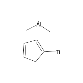 [CH3][Al][CH3].[Ti][C]1=CC=CC1